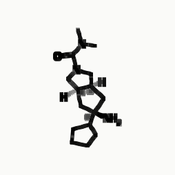 CN(C)C(=O)N1C[C@@H]2C[C@@](N)(C3CCCC3)C[C@@H]2C1